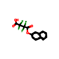 O=C(O)C(F)(F)C(F)(F)C(=O)Oc1ccc2ccccc2c1